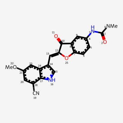 CNC(=O)Nc1ccc2c(c1)C(=O)/C(=C/c1c[nH]c3c(C#N)cc(OC)cc13)O2